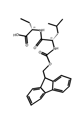 CC[C@H](NC(=O)[C@H](CC(C)C)NC(=O)OCC1c2ccccc2-c2ccccc21)C(=O)O